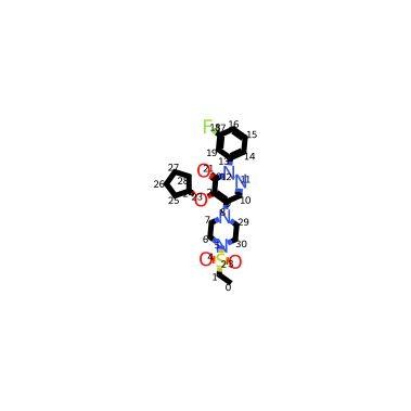 CCS(=O)(=O)N1CCN(c2cnn(-c3cccc(F)c3)c(=O)c2OC2CCCC2)CC1